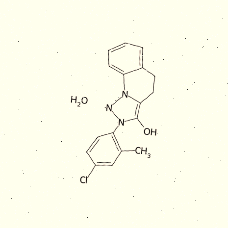 Cc1cc(Cl)ccc1N1[N]N2C(=C1O)CCc1ccccc12.O